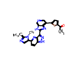 CC(=O)c1ccc(-c2cncc3[nH]c(-c4n[nH]c5ccc(-c6cnc(C)n6C)nc45)nc23)s1